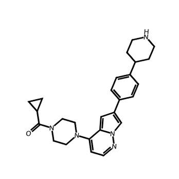 O=C(C1CC1)N1CCN(c2ccnn3cc(-c4ccc(C5CCNCC5)cc4)cc23)CC1